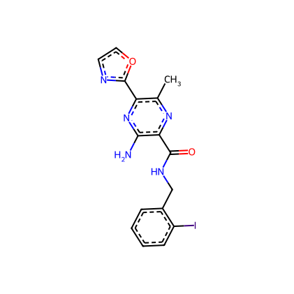 Cc1nc(C(=O)NCc2ccccc2I)c(N)nc1-c1ncco1